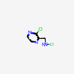 ClNCc1nccnc1Cl